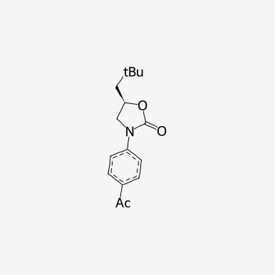 CC(=O)c1ccc(N2C[C@@H](CC(C)(C)C)OC2=O)cc1